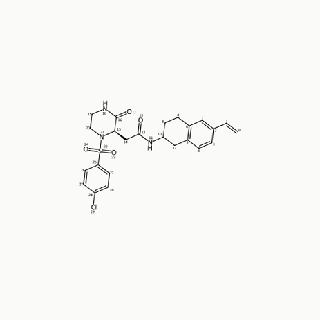 C=Cc1ccc2c(c1)CCC(NC(=O)C[C@@H]1C(=O)NCCN1S(=O)(=O)c1ccc(Cl)cc1)C2